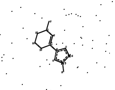 CC1C=C(c2cnn(C)c2)CCC1